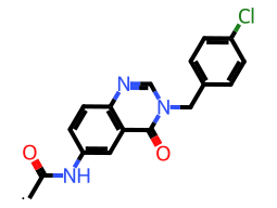 [CH2]C(=O)Nc1ccc2ncn(Cc3ccc(Cl)cc3)c(=O)c2c1